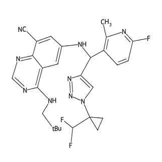 Cc1nc(F)ccc1C(Nc1cc(C#N)c2ncnc(NCC(C)(C)C)c2c1)c1cn(C2(C(F)F)CC2)nn1